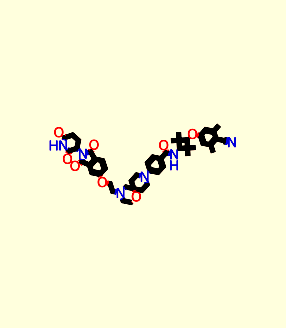 Cc1cc(O[C@H]2C(C)(C)[C@H](NC(=O)c3ccc(N4CCC5(CC4)CN(CCOc4ccc6c(c4)C(=O)N(C4CCC(=O)NC4=O)C6=O)CCO5)cc3)C2(C)C)cc(C)c1C#N